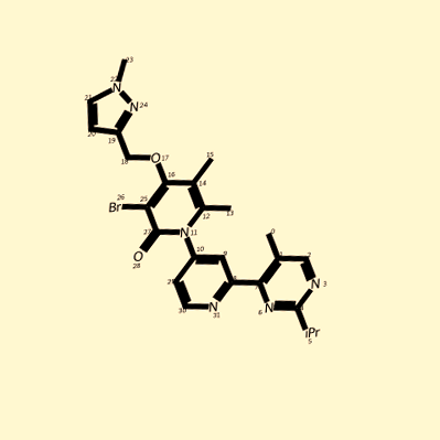 Cc1cnc(C(C)C)nc1-c1cc(-n2c(C)c(C)c(OCc3ccn(C)n3)c(Br)c2=O)ccn1